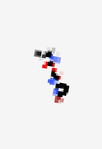 CC(C)NC(=O)OCC(=O)Nc1cccc(Br)n1